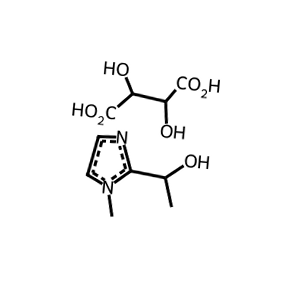 CC(O)c1nccn1C.O=C(O)C(O)C(O)C(=O)O